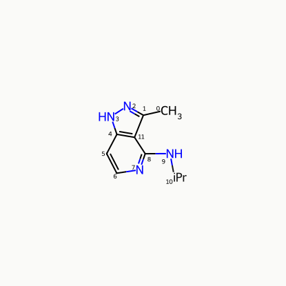 Cc1n[nH]c2ccnc(NC(C)C)c12